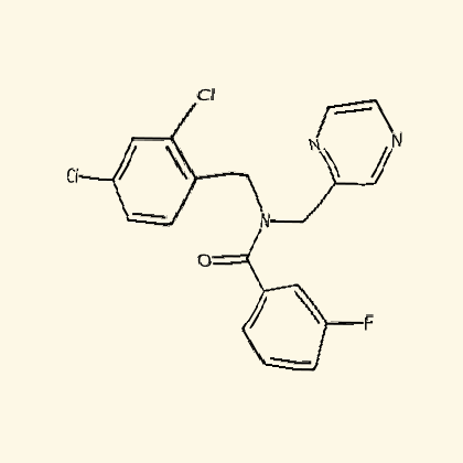 O=C(c1cccc(F)c1)N(Cc1cnccn1)Cc1ccc(Cl)cc1Cl